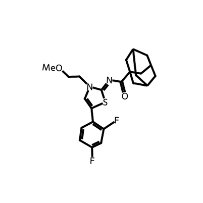 COCCn1cc(-c2ccc(F)cc2F)s/c1=N\C(=O)C12CC3CC(CC(C3)C1)C2